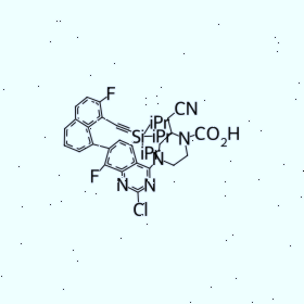 CC(C)[Si](C#Cc1c(F)ccc2cccc(-c3ccc4c(N5CCN(C(=O)O)C(CC#N)C5)nc(Cl)nc4c3F)c12)(C(C)C)C(C)C